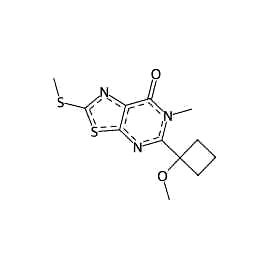 COC1(c2nc3sc(SC)nc3c(=O)n2C)CCC1